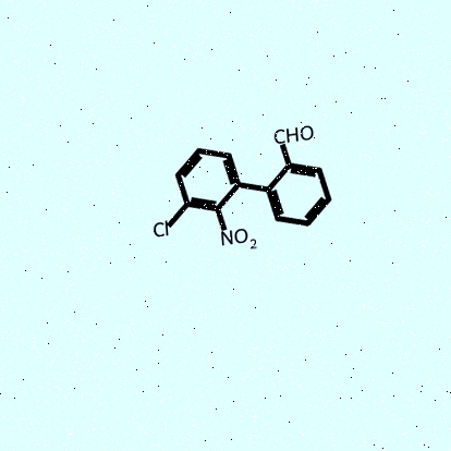 O=Cc1ccccc1-c1cccc(Cl)c1[N+](=O)[O-]